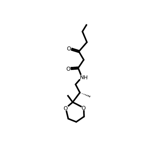 CCCC(=O)CC(=O)NC[C@H](C)C1(C)OCCCO1